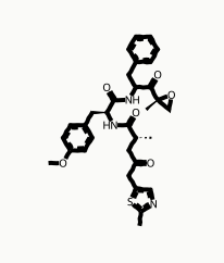 COc1ccc(C[C@H](NC(=O)[C@H](C)CC(=O)Cc2cnc(C)s2)C(=O)NC(Cc2ccccc2)C(=O)[C@@]2(C)CO2)cc1